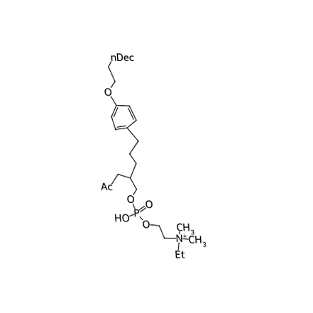 CCCCCCCCCCCCOc1ccc(CCCC(COP(=O)(O)OCC[N+](C)(C)CC)CC(C)=O)cc1